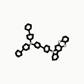 c1ccc(-c2ccc(N(c3ccc(-c4ccccc4)cc3)c3ccc(-c4ccc(-n5c6ccccc6c6cc7c(cc65)Oc5ccccc5O7)cc4)cc3)cc2)cc1